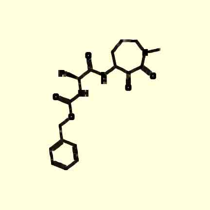 CC(C)[C@H](NC(=O)OCc1ccccc1)C(=O)NC1CCCN(C)C(=O)C1=O